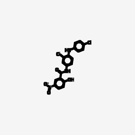 O=C(Nc1ccc(Nc2ccc(Cl)cc2)c(Cl)c1)c1cc([N+](=O)[O-])ccc1O